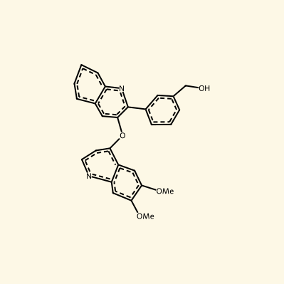 COc1cc2nccc(Oc3cc4ccccc4nc3-c3cccc(CO)c3)c2cc1OC